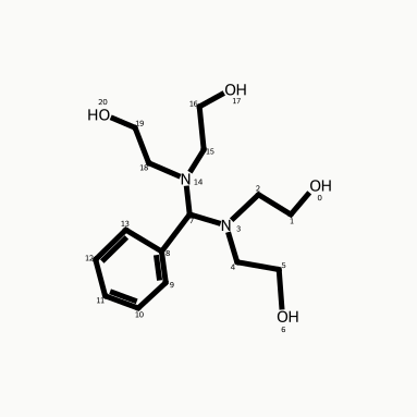 OCCN(CCO)C(c1ccccc1)N(CCO)CCO